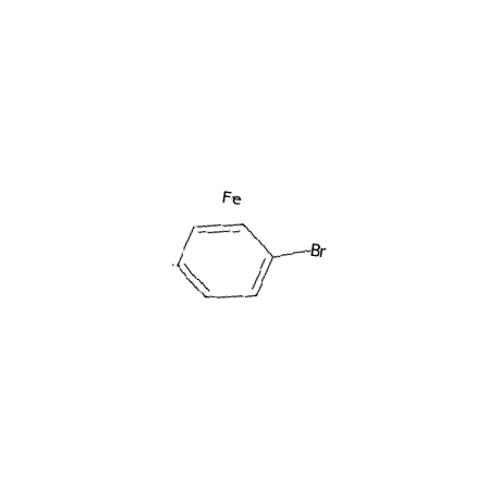 Brc1cc[c]cc1.[Fe]